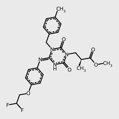 COC(=O)[C@@H](C)Cn1c(=O)[nH]/c(=N\c2ccc(OCC(F)F)cc2)n(Cc2ccc(C)cc2)c1=O